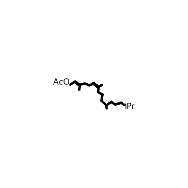 CC(=O)OC/C=C(\C)CCC=C(C)CCCC(C)CCCC(C)C